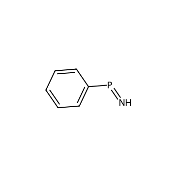 N=Pc1ccccc1